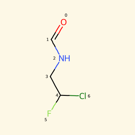 O=CNCC(F)Cl